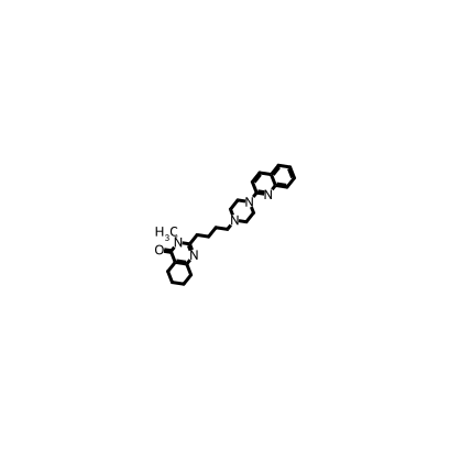 Cn1c(CCCCN2CCN(c3ccc4ccccc4n3)CC2)nc2c(c1=O)CCCC2